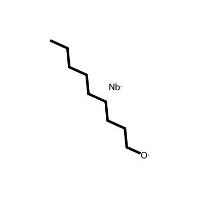 CCCCCCCCC[O].[Nb]